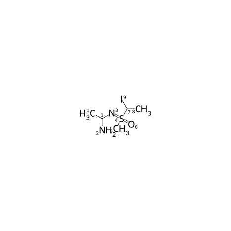 CC(N)N=S(C)(=O)C(C)I